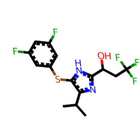 CC(C)c1nc(C(O)CC(F)(F)F)[nH]c1Sc1cc(F)cc(F)c1